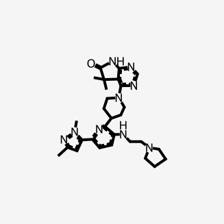 Cc1cc(-c2ccc(NCCN3CCCC3)c(C3CCN(c4ncnc5c4C(C)(C)C(=O)N5)CC3)n2)n(C)n1